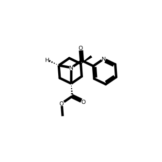 COC(=O)[C@]12C[C@H](C)C[C@H](C1)N2C(=O)c1ccccn1